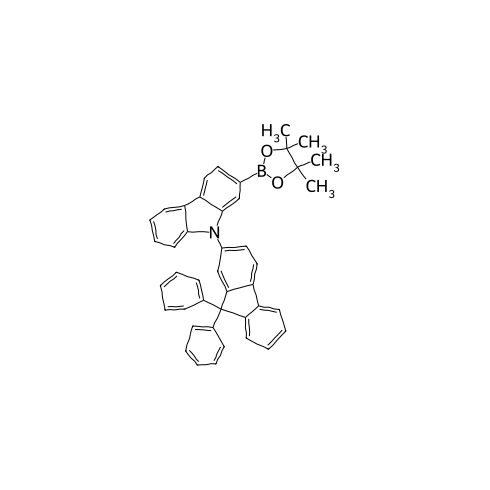 CC1(C)OB(c2ccc3c4ccccc4n(-c4ccc5c(c4)C(c4ccccc4)(c4ccccc4)c4ccccc4-5)c3c2)OC1(C)C